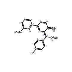 CNc1nccc(C2=C/C(=C(/OC)c3ccc(Cl)cc3)C(=N)C=C2)n1